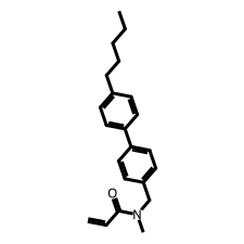 C=CC(=O)N(C)Cc1ccc(-c2ccc(CCCCC)cc2)cc1